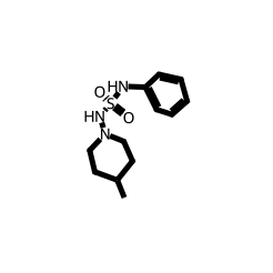 CC1CCN(NS(=O)(=O)Nc2ccccc2)CC1